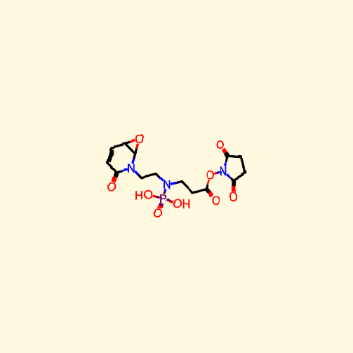 O=C(CCN(CCN1C(=O)C=CC2OC21)P(=O)(O)O)ON1C(=O)CCC1=O